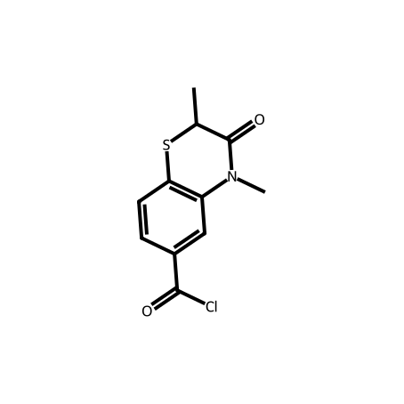 CC1Sc2ccc(C(=O)Cl)cc2N(C)C1=O